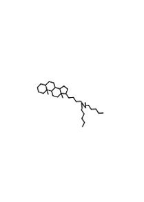 CCCCCN(CCCCC)CCCCC1CCC2C3CCC4CCCCC4(C)C3CCC12C